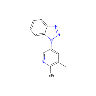 CCCc1ncc(-n2nnc3ccccc32)cc1C